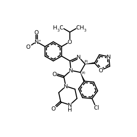 CC(C)Oc1cc([N+](=O)[O-])ccc1C1=N[C@@H](c2cnco2)[C@@H](c2ccc(Cl)cc2)N1C(=O)N1CCNC(=O)C1